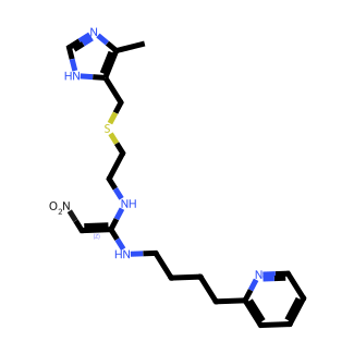 Cc1nc[nH]c1CSCCN/C(=C\[N+](=O)[O-])NCCCCc1ccccn1